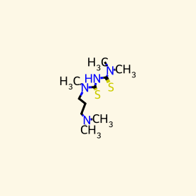 CN(C)CCCN(C)C(=S)NC(=S)N(C)C